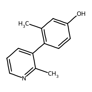 Cc1cc(O)ccc1-c1cccnc1C